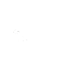 C=C1C[C@H](O)[C@H](CC=CCCCC(=O)O)[C@H]1C=CC(O)c1cc2ccccc2s1